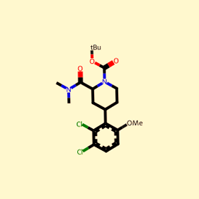 COc1ccc(Cl)c(Cl)c1C1CCN(C(=O)OC(C)(C)C)C(C(=O)N(C)C)C1